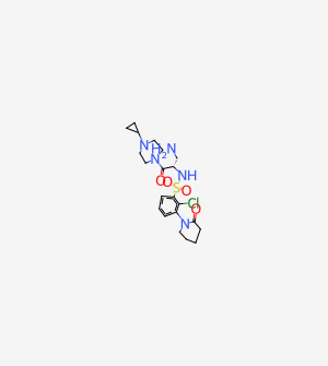 NC[C@H](NS(=O)(=O)c1cccc(N2CCCCC2=O)c1Cl)C(=O)N1CCN(C2CC2)CC1